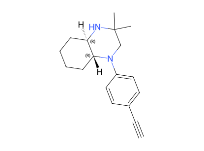 C#Cc1ccc(N2CC(C)(C)N[C@@H]3CCCC[C@H]32)cc1